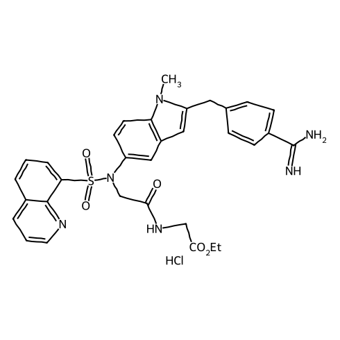 CCOC(=O)CNC(=O)CN(c1ccc2c(c1)cc(Cc1ccc(C(=N)N)cc1)n2C)S(=O)(=O)c1cccc2cccnc12.Cl